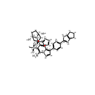 CS(=O)(=O)c1c([C@H]2C[C@H]3CC[C@@H](C2)N3C(=O)c2nnc[nH]2)nc2c(-c3ccc(-c4nc5c(s4)CCC5)nc3)cnn2c1N